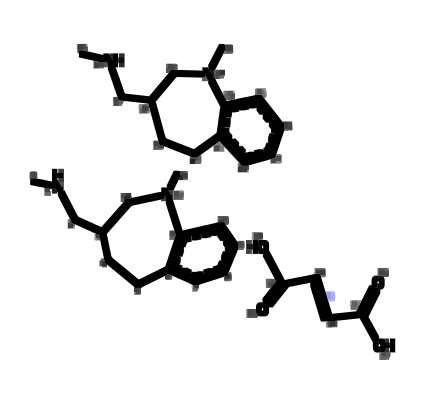 CNCC1CCc2ccccc2N(C)C1.CNCC1CCc2ccccc2N(C)C1.O=C(O)/C=C/C(=O)O